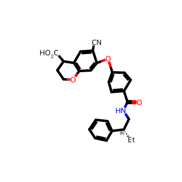 CC[C@@H](CNC(=O)c1ccc(Oc2cc3c(cc2C#N)C(C(=O)O)CCO3)cc1)c1ccccc1